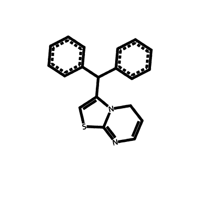 C1=CN=C2SC=C(C(c3ccccc3)c3ccccc3)N2C1